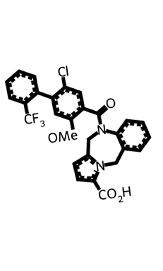 COc1cc(-c2ccccc2C(F)(F)F)c(Cl)cc1C(=O)N1Cc2ccc(C(=O)O)n2Cc2ccccc21